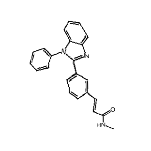 CNC(=O)/C=C/c1cccc(-c2nc3ccccc3n2-c2ccccc2)c1